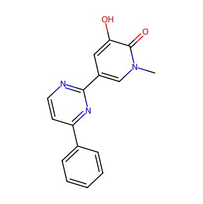 Cn1cc(-c2nccc(-c3ccccc3)n2)cc(O)c1=O